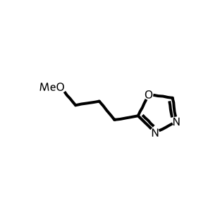 [CH2]OCCCc1nnco1